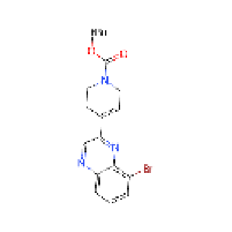 CC(C)(C)OC(=O)N1CC=C(c2cnc3cccc(Br)c3n2)CC1